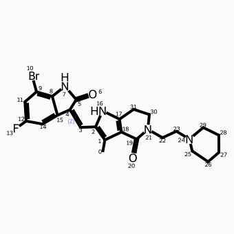 Cc1c(/C=C2\C(=O)Nc3c(Br)cc(F)cc32)[nH]c2c1C(=O)N(CCN1CCCCC1)CC2